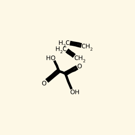 C=C.C=C.O=C(O)C(=O)O